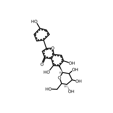 O=c1cc(-c2ccc(O)cc2)oc2cc(O)c([C@@H]3OC(CO)[C@@H](O)C(O)C3O)c(O)c12